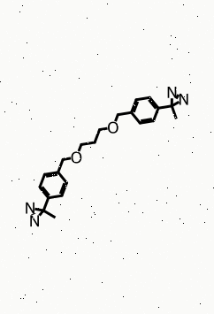 CC1(c2ccc(COCCCOCc3ccc(C4(C)N=N4)cc3)cc2)N=N1